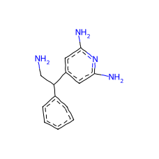 NCC(c1ccccc1)c1cc(N)nc(N)c1